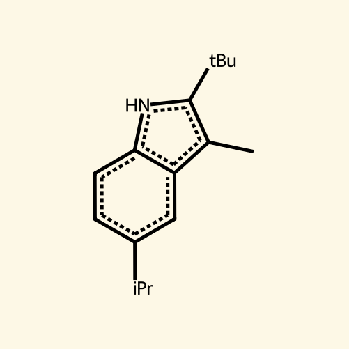 Cc1c(C(C)(C)C)[nH]c2ccc(C(C)C)cc12